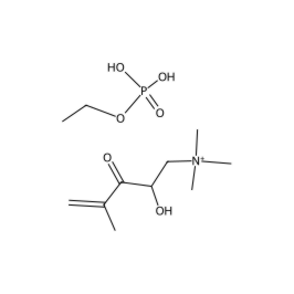 C=C(C)C(=O)C(O)C[N+](C)(C)C.CCOP(=O)(O)O